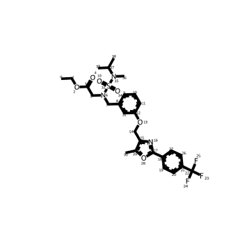 CCOC(=O)CN(Cc1cccc(OCc2nc(-c3ccc(C(F)(F)F)cc3)oc2C)c1)S(=O)(=O)N(C)C(C)C